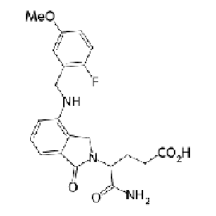 COc1ccc(F)c(CNc2cccc3c2CN(C(CCC(=O)O)C(N)=O)C3=O)c1